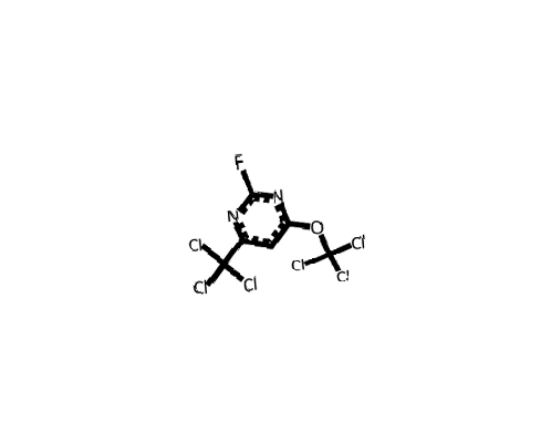 Fc1nc(OC(Cl)(Cl)Cl)cc(C(Cl)(Cl)Cl)n1